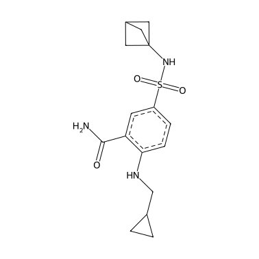 NC(=O)c1cc(S(=O)(=O)NC23CC(C2)C3)ccc1NCC1CC1